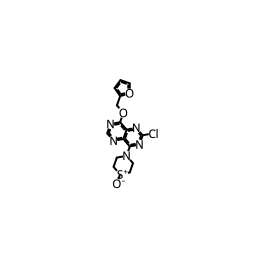 [O-][S+]1CCN(c2nc(Cl)nc3c(OCc4ccco4)ncnc23)CC1